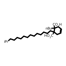 CCCCC1(C(=O)O)CC=CCC1(CCCCCCCCCCCCCC(C)C)C(=O)O